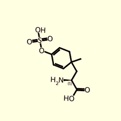 CC1(C[C@H](N)C(=O)O)C=CC(OS(=O)(=O)O)=CC1